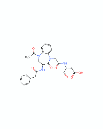 CC(=O)N1C[C@H](NC(=O)Cc2ccccc2)C(=O)N(CC(=O)N[C@H](C=O)CC(=O)O)c2ccccc21